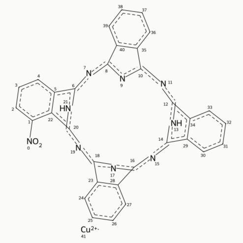 O=[N+]([O-])c1cccc2c3nc4nc(nc5[nH]c(nc6nc(nc([nH]3)c12)-c1ccccc1-6)c1ccccc51)-c1ccccc1-4.[Cu+2]